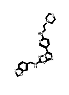 c1cc2c(cc1CNc1nn3c(-c4ccc(NCCN5CCOCC5)nc4)cnc3s1)OCO2